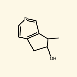 CC1c2cnccc2CC1O